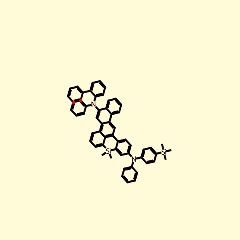 C[Si](C)(C)c1ccc(N(c2ccccc2)c2ccc3c(c2)[Si](C)(C)c2cccc4c2c-3cc2c3ccccc3c(N(c3ccccc3)c3ccccc3-c3ccccc3)cc42)cc1